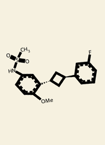 COc1ccc(NS(C)(=O)=O)cc1[C@H]1C[C@H](c2cccc(F)c2)C1